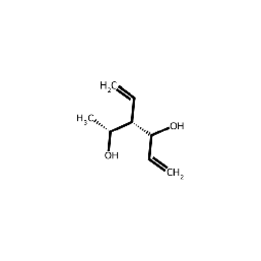 C=CC(O)[C@@H](C=C)[C@@H](C)O